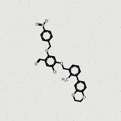 Cc1c(COc2cc(OCc3ccc([N+](=O)[O-])cc3)c(C=O)cc2Cl)cccc1-c1ccc2c(c1)OCCO2